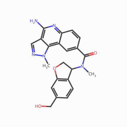 CN(C(=O)c1ccc2nc(N)c3cnn(C)c3c2c1)C1COc2cc(CO)ccc21